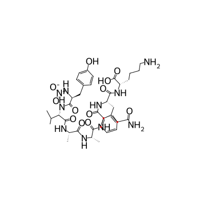 CC(C)[C@H](NC(=O)[C@H](Cc1ccc(O)cc1)N[N+](=O)[O-])C(=O)N[C@@H](C)C(=O)N[C@@H](C)C(=O)N[C@@H](CCC(N)=O)C(=O)N[C@@H](Cc1ccccc1)C(=O)N[C@@H](CCCCN)C(=O)O